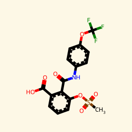 CS(=O)(=O)Oc1cccc(C(=O)O)c1C(=O)Nc1ccc(OC(F)(F)F)cc1